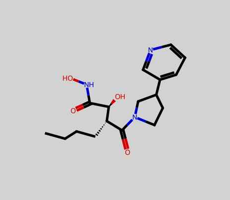 CCCC[C@@H](C(=O)N1CCC(c2cccnc2)C1)[C@H](O)C(=O)NO